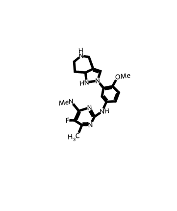 CNc1nc(Nc2ccc(OC)c(N3C=C4CNCCC4N3)c2)nc(C)c1F